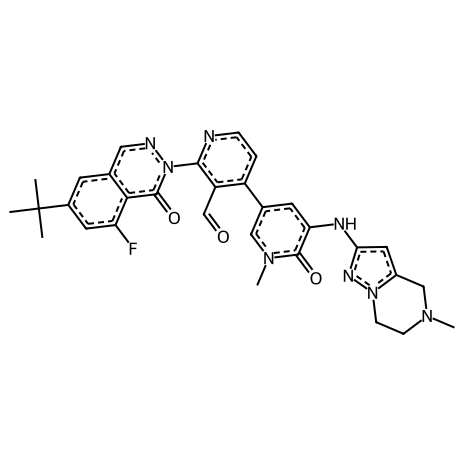 CN1CCn2nc(Nc3cc(-c4ccnc(-n5ncc6cc(C(C)(C)C)cc(F)c6c5=O)c4C=O)cn(C)c3=O)cc2C1